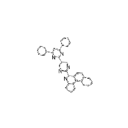 c1ccc(-c2cc(-c3ccccc3)nc(-c3cnc(-c4nc5ccccc5c5c4ccc4ccccc45)nc3)n2)cc1